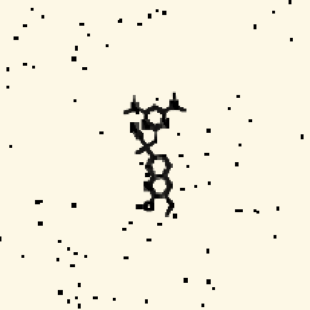 CCc1cc2ccc(C(C)(C#N)Cc3nc(N(C)C)cc(N(C)C)n3)cc2nc1OC